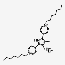 CCCCCCC[n+]1ccc(-c2[nH]c(-c3cc[n+](CCCCCCC)cc3)c(C)c2C)cc1.[Br-].[Br-]